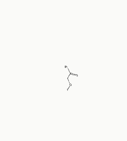 CC(C)C(=O)COI